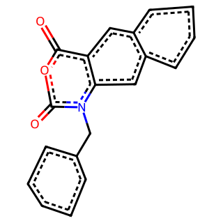 O=c1oc(=O)n(Cc2ccccc2)c2cc3ccccc3cc12